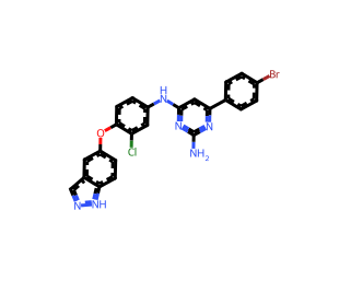 Nc1nc(Nc2ccc(Oc3ccc4[nH]ncc4c3)c(Cl)c2)cc(-c2ccc(Br)cc2)n1